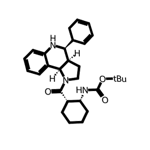 CC(C)(C)OC(=O)N[C@@H]1CCCC[C@@H]1C(=O)N1CC[C@@H]2[C@H](C3C=CC=CC3)Nc3ccccc3[C@@H]21